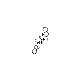 O=C(NC(=S)Nc1ccc2ccccc2n1)c1cc2ccccc2o1